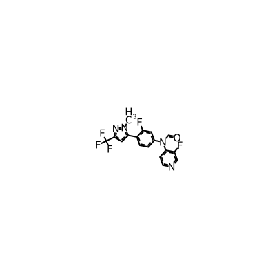 Cn1nc(C(F)(F)F)cc1-c1ccc(N(C=O)c2ccncc2F)cc1F